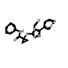 O=Cn1c(SC2(C(=O)Nc3ccccc3)CC2)nnc1-c1ccncc1